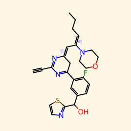 C#CC1=N/C(=C/C(=C\CCC)N2CCOCC2)CC(c2cc(C(O)c3nccs3)ccc2F)=N1